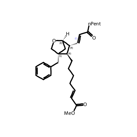 CCCCCC(=O)/C=C/[C@@H]1[C@@H](CCCCC=CC(=O)OC)[C@@]2(Cc3ccccc3)CO[C@@H]1C2